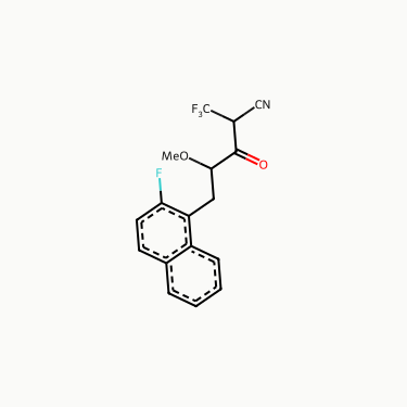 COC(Cc1c(F)ccc2ccccc12)C(=O)C(C#N)C(F)(F)F